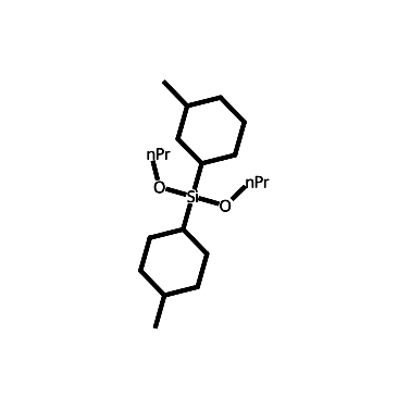 CCCO[Si](OCCC)(C1CCC(C)CC1)C1CCCC(C)C1